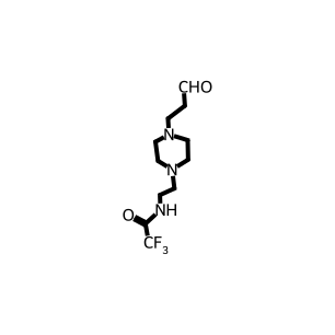 O=CCCN1CCN(CCNC(=O)C(F)(F)F)CC1